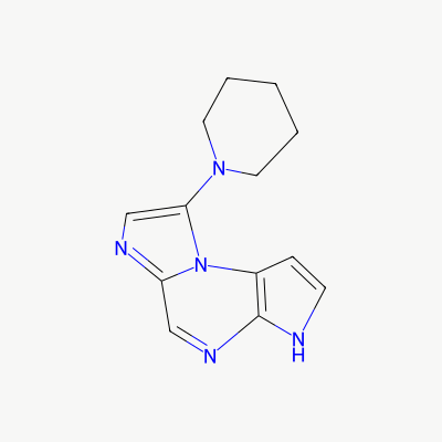 c1cc2c(ncc3ncc(N4CCCCC4)n32)[nH]1